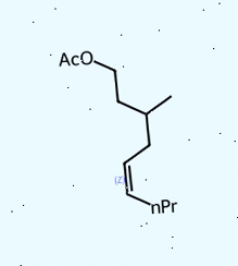 CCC/C=C\CC(C)CCOC(C)=O